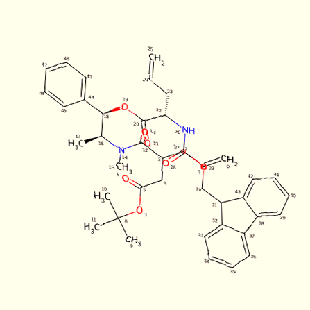 C=CCC(CC(=O)OC(C)(C)C)C(=O)N(C)[C@@H](C)[C@H](OC(=O)[C@H](CC=C)NC(=O)OCC1c2ccccc2-c2ccccc21)c1ccccc1